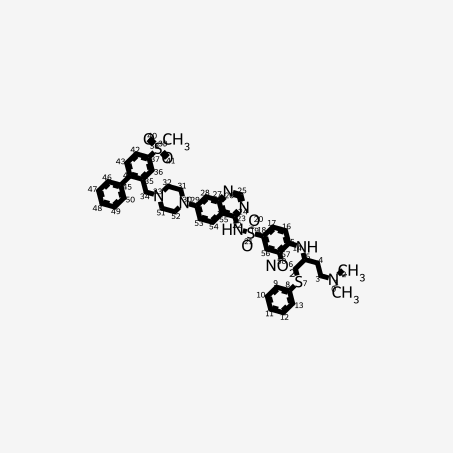 CN(C)CCC(CSc1ccccc1)Nc1ccc(S(=O)(=O)Nc2ncnc3cc(N4CCN(Cc5cc(S(C)(=O)=O)ccc5-c5ccccc5)CC4)ccc23)cc1[N+](=O)[O-]